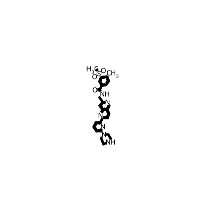 Cc1ccc(C(=O)NCc2cc3nc(-c4cccc(N5CCNCC5)n4)ccc3cn2)cc1S(C)(=O)=O